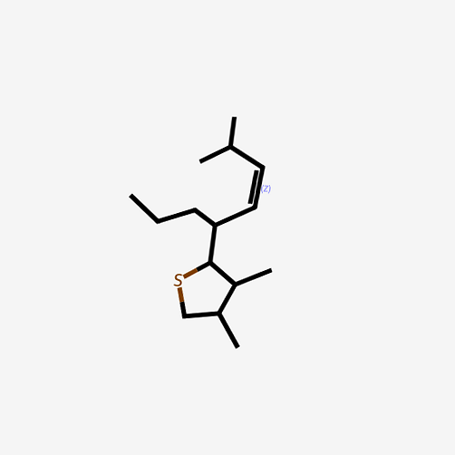 CCCC(/C=C\C(C)C)C1SCC(C)C1C